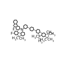 CC1(C)CC(C)(C)c2cc3c(cc21)-c1ccc(-c2ccc(-c4cccc(N(c5ccc6sc7ccccc7c6c5)c5cccc6c5-c5cc(F)c(F)cc5C6(C)C)c4)cc2)cc1C3(C)C